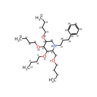 CCCCOCC1C(OCCCC)C(OCCCC)C(OCCCC)CN1CCCc1ccccc1